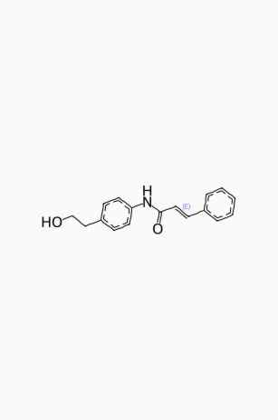 O=C(/C=C/c1ccccc1)Nc1ccc(CCO)cc1